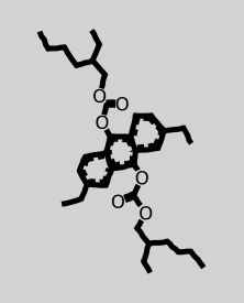 CCCCC(CC)COC(=O)Oc1c2ccc(CC)cc2c(OC(=O)OCC(CC)CCCC)c2cc(CC)ccc12